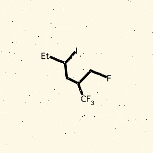 CCC(I)CC(CF)C(F)(F)F